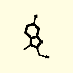 CC(=O)Cn1nc2cc(Cl)ccc2c1C